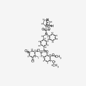 COc1ccc([C@H](Cc2c(Cl)c[n+]([O-])cc2Cl)OC(=O)c2ccc(CN(C(=O)O[C@H]3CN4CCC3CC4)c3ccccc3)cc2)cc1OC